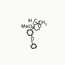 COC1(c2cccc(OCc3ccccc3)c2)CCOC(C)(C)C1